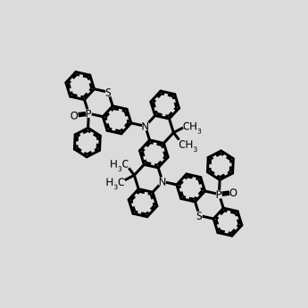 CC1(C)c2ccccc2N(c2ccc3c(c2)Sc2ccccc2P3(=O)c2ccccc2)c2cc3c(cc21)N(c1ccc2c(c1)Sc1ccccc1P2(=O)c1ccccc1)c1ccccc1C3(C)C